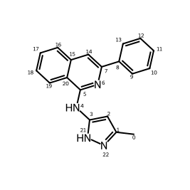 Cc1cc(Nc2nc(-c3ccccc3)cc3ccccc23)[nH]n1